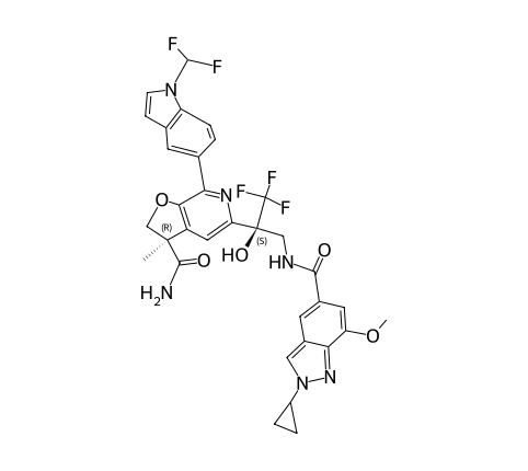 COc1cc(C(=O)NC[C@](O)(c2cc3c(c(-c4ccc5c(ccn5C(F)F)c4)n2)OC[C@]3(C)C(N)=O)C(F)(F)F)cc2cn(C3CC3)nc12